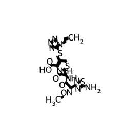 C=CCn1nnnc1SCC1=C(C(=O)O)N2C(=O)C(NC(=O)/C(=N\OCC)c3nsc(N)n3)[C@H]2SC1